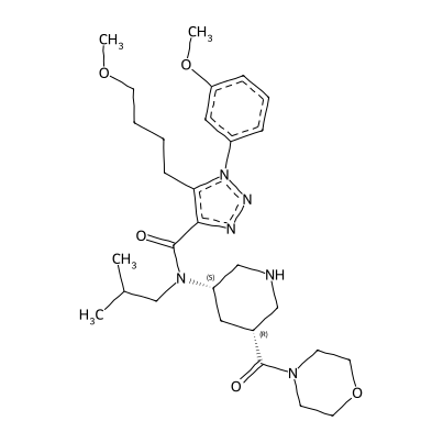 COCCCCc1c(C(=O)N(CC(C)C)[C@@H]2CNC[C@H](C(=O)N3CCOCC3)C2)nnn1-c1cccc(OC)c1